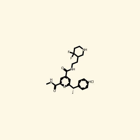 CNC(=O)c1cc(C(=O)NCCC2CNCCC2(F)F)cc([C@@H](C)c2ccccc2)n1.Cl